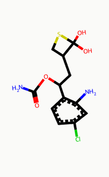 NC(=O)OC(CC1CSC1(O)O)c1ccc(Cl)cc1N